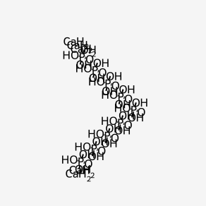 O=P(O)(O)O.O=P(O)(O)O.O=P(O)(O)O.O=P(O)(O)O.O=P(O)(O)O.O=P(O)(O)O.O=P(O)(O)O.O=P(O)(O)O.O=P(O)(O)O.[CaH2].[CaH2].[CaH2].[CaH2].[CaH2]